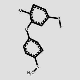 CSc1ccc(Oc2cc(SF)ccc2[O])cc1